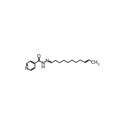 C/C=C/CCCCCCCC=NNC(=O)c1ccncc1